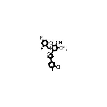 Cc1ccc(-c2csc(-c3cc(C(F)(F)F)c(C#N)c(=O)n3Cc3ccc(F)cc3F)c2)cc1Cl